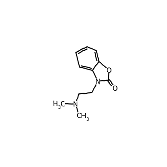 CN(C)CCn1c(=O)oc2ccccc21